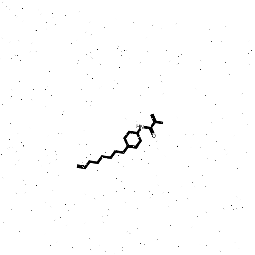 C=CCCCCCCC1CCC(NC(=O)C(=C)C)CC1